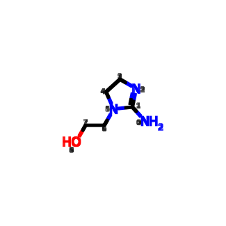 NC1=NCCN1CCO